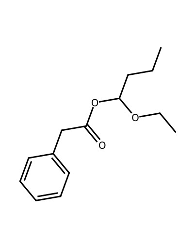 CCCC(OCC)OC(=O)Cc1ccccc1